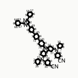 N#Cc1ccc(N(c2ccccc2)c2ccc3c(c2)c2cc(N(c4ccccc4)c4ccc(C#N)cc4)ccc2n3-c2ccc(-c3ccc(-c4ccc(-c5cc(-c6ccccc6)nc(-c6ccccc6)n5)cc4)cc3)cc2)cc1